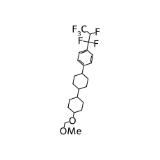 COCOC1CCC(C2CCC(c3ccc(C(F)(F)C(F)C(F)(F)F)cc3)CC2)CC1